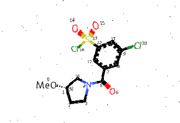 CO[C@H]1CCN(C(=O)c2cc(Cl)cc(S(=O)(=O)Cl)c2)C1